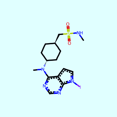 CNS(=O)(=O)C[C@H]1CC[C@H](N(C)c2ncnc3c2ccn3I)CC1